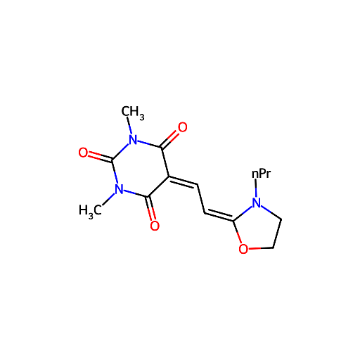 CCCN1CCO/C1=C/C=C1C(=O)N(C)C(=O)N(C)C1=O